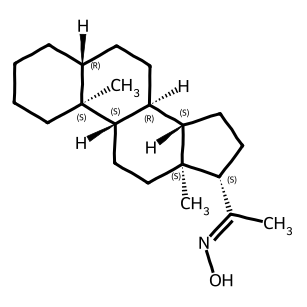 CC(=NO)[C@H]1CC[C@H]2[C@@H]3CC[C@H]4CCCC[C@]4(C)[C@H]3CC[C@]12C